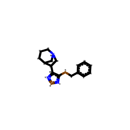 c1ccc(CSc2nsnc2C2CN3CCCC2C3)cc1